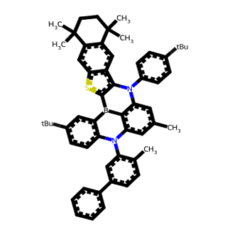 Cc1cc2c3c(c1)N(c1ccc(C(C)(C)C)cc1)c1c(sc4cc5c(cc14)C(C)(C)CCC5(C)C)B3c1cc(C(C)(C)C)ccc1N2c1cc(-c2ccccc2)ccc1C